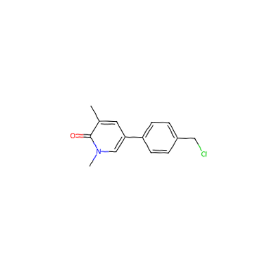 Cc1cc(-c2ccc(CCl)cc2)cn(C)c1=O